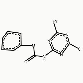 CC(C)c1nc(Cl)nc(NC(=O)Oc2ccccc2)n1